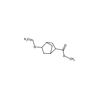 C=COC1CC2CC1CC2C(=O)OC